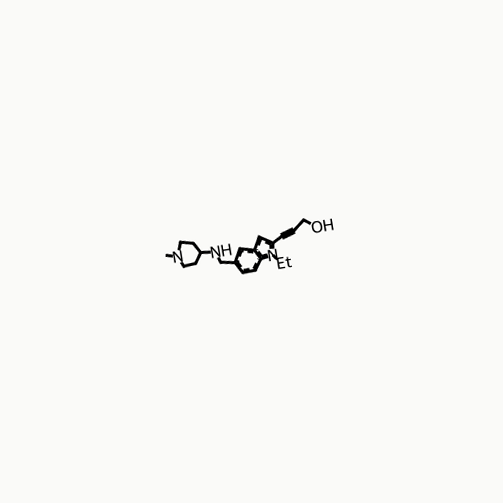 CCn1c(C#CCO)cc2cc(CNC3CCN(C)CC3)ccc21